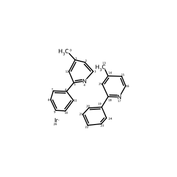 Cc1ccnc(-c2ccccc2)c1.Cc1ccnc(-c2ccccc2)c1.[Ir]